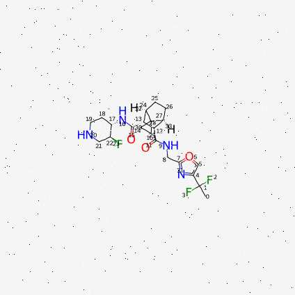 CC(F)(F)c1coc(CNC(=O)[C@H]2[C@H](C(=O)N[C@H]3CCNC[C@@H]3F)[C@H]3CC[C@@H]2C32CC2)n1